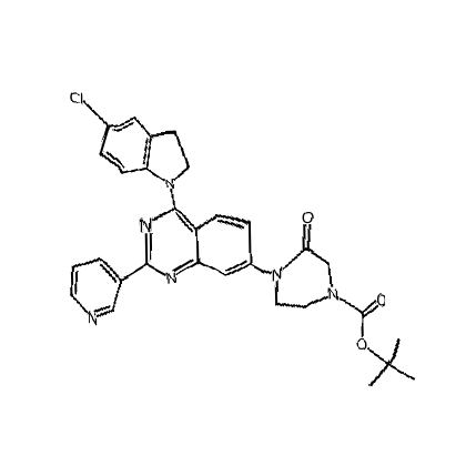 CC(C)(C)OC(=O)N1CCN(c2ccc3c(N4CCc5cc(Cl)ccc54)nc(-c4cccnc4)nc3c2)C(=O)C1